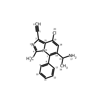 C#Cc1nc(C)n2c(-c3ccccc3)c(C(C)N)cc(Cl)c12